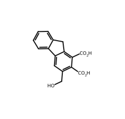 O=C(O)c1c(CO)cc2c(c1C(=O)O)Cc1ccccc1-2